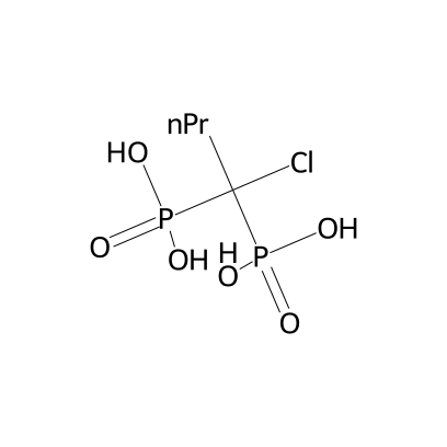 CCCC(Cl)(P(=O)(O)O)P(=O)(O)O